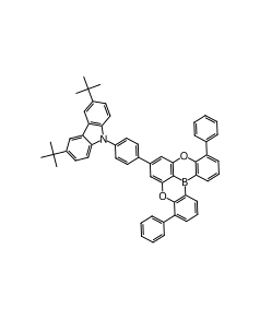 CC(C)(C)c1ccc2c(c1)c1cc(C(C)(C)C)ccc1n2-c1ccc(-c2cc3c4c(c2)Oc2c(cccc2-c2ccccc2)B4c2cccc(-c4ccccc4)c2O3)cc1